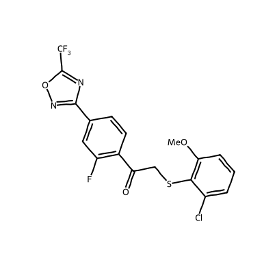 COc1cccc(Cl)c1SCC(=O)c1ccc(-c2noc(C(F)(F)F)n2)cc1F